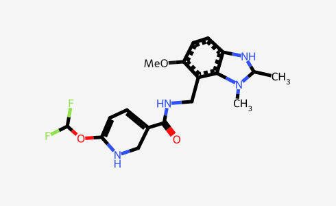 COc1ccc2c(c1CNC(=O)C1=CC=C(OC(F)F)NC1)N(C)C(C)N2